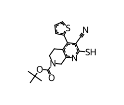 CC(C)(C)OC(=O)N1CCc2c(nc(S)c(C#N)c2-c2cccs2)C1